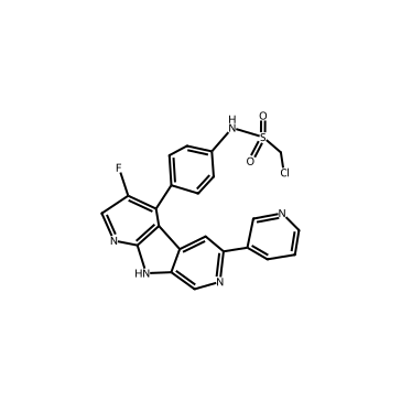 O=S(=O)(CCl)Nc1ccc(-c2c(F)cnc3[nH]c4cnc(-c5cccnc5)cc4c23)cc1